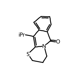 CC(C)c1c2n(c(=O)c3ccccc13)CCCS2